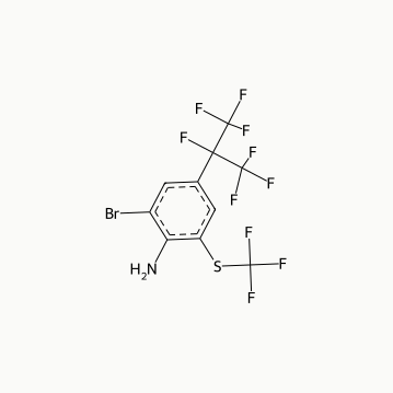 Nc1c(Br)cc(C(F)(C(F)(F)F)C(F)(F)F)cc1SC(F)(F)F